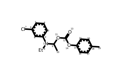 CCN(c1cccc(Cl)c1)C(C)OC(=O)Oc1ccc(C)cc1